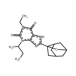 CCC(C)n1c(=O)n(CC)c(=O)c2[nH]c(C34CC5CC(CC3C5)C4)nc21